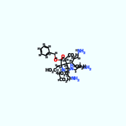 NCCNC(CN)N(CC(=O)O)[C@](CC(=O)O)(C(=O)OCc1ccccc1)C(CC(=O)O)(CC(=O)O)C(CCN)CC(=O)O